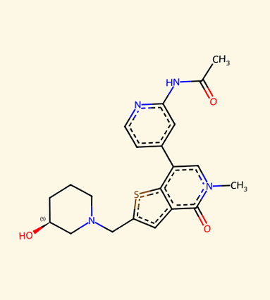 CC(=O)Nc1cc(-c2cn(C)c(=O)c3cc(CN4CCC[C@H](O)C4)sc23)ccn1